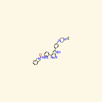 Cc1c(NC(=O)N2Cc3ccccc3C2)cccc1-c1ncnc2[nH]c(-c3ccc(CN4CCN(C5CC5)CC4)cc3)cc12